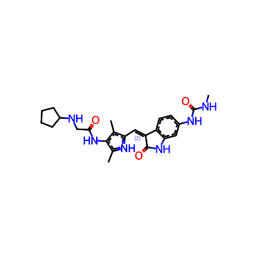 CNC(=O)Nc1ccc2c(c1)NC(=O)/C2=C\c1[nH]c(C)c(NC(=O)CNC2CCCC2)c1C